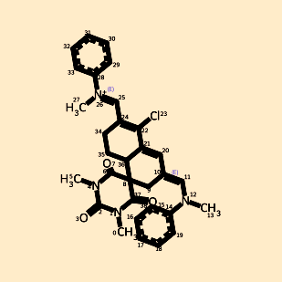 CN1C(=O)N(C)C(=O)C2(C/C(=C\N(C)c3ccccc3)C=C3C(Cl)=C(/C=[N+](\C)c4ccccc4)CCC32)C1=O